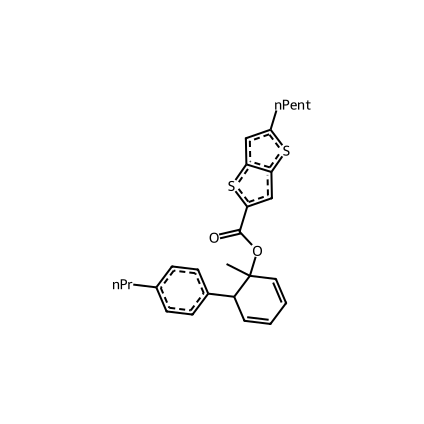 CCCCCc1cc2sc(C(=O)OC3(C)C=CC=CC3c3ccc(CCC)cc3)cc2s1